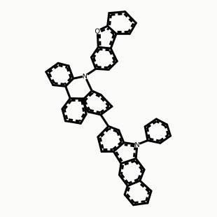 c1ccc(-c2ccccc2N(c2ccc(-c3ccc4c5cc6ccccc6cc5n(-c5ccccc5)c4c3)cc2)c2ccc3c(c2)oc2ccccc23)cc1